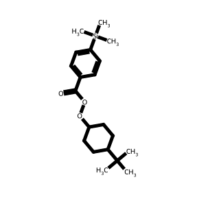 CC(C)(C)C1CC[C](OOC(=O)c2ccc([Si](C)(C)C)cc2)CC1